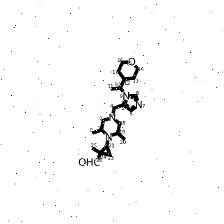 CC1CN(Cc2cncn2C(C)C2CCOCC2)CC(C)N1C1CC1(C)C=O